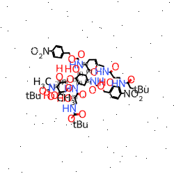 CN(C(=O)OC(C)(C)C)[C@@H]1[C@@H](O)[C@@H](O[C@H]2[C@H](NC(=O)[C@@H](O)CNC(=O)OC(C)(C)C)C[C@H](NC(=O)OCc3ccc([N+](=O)[O-])cc3)C([C@H]3OC(CNC(=O)C(O)CNC(=O)CC(C)(C)C)=CC[C@H]3NC(=O)OCc3ccc([N+](=O)[O-])cc3)[C@@H]2O)OC[C@]1(C)O